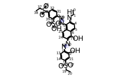 CCNc1ccc2c(O)c(/N=N/c3ccc(S(=O)(=O)CC)cc3O)ccc2c1/N=N/c1ccc(S(=O)(=O)CC)cc1S(=O)(=O)O